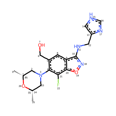 C[C@@H]1CN(c2c(CO)cc3c(NCc4c[nH]cn4)noc3c2F)C[C@H](C)O1